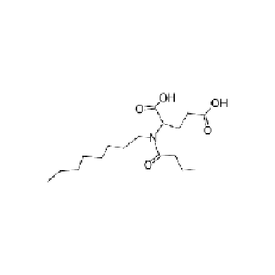 CCCCCCCCN(C(=O)CCC)C(CCC(=O)O)C(=O)O